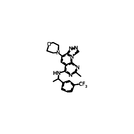 Cc1nc(NC(C)c2cccc(C(F)(F)F)c2)c2cc(N3CCOCC3)c3nncn3c2n1